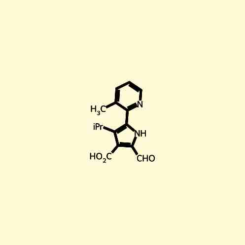 Cc1cccnc1-c1[nH]c(C=O)c(C(=O)O)c1C(C)C